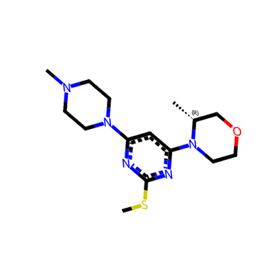 CSc1nc(N2CCN(C)CC2)cc(N2CCOC[C@H]2C)n1